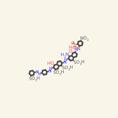 Nc1c(N=Nc2ccc3c(O)c(N=Nc4ccc(N=Nc5cccc(S(=O)(=O)O)c5)cc4)c(S(=O)(=O)O)cc3c2S(=O)(=O)O)cc(S(=O)(=O)O)c2ccc(N=Nc3ccc([N+](=O)[O-])cc3S(=O)O)c(O)c12